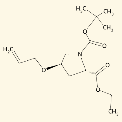 C=CCO[C@@H]1C[C@@H](C(=O)OCC)N(C(=O)OC(C)(C)C)C1